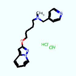 CN(CCCCOc1cc2ccccn2n1)Cc1ccncc1.Cl.Cl